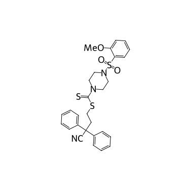 COc1ccccc1S(=O)(=O)N1CCN(C(=S)SCCC(C#N)(c2ccccc2)c2ccccc2)CC1